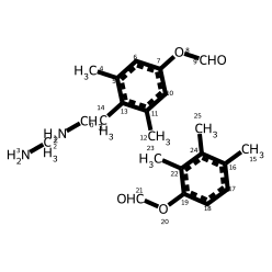 CN.CN.Cc1cc(OC=O)cc(C)c1C.Cc1ccc(OC=O)c(C)c1C